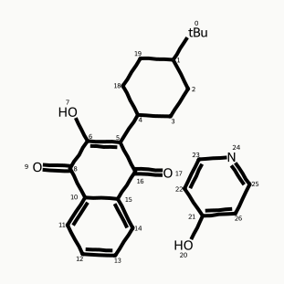 CC(C)(C)C1CCC(C2=C(O)C(=O)c3ccccc3C2=O)CC1.Oc1ccncc1